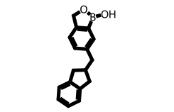 OB1OCc2ccc(CC3Cc4ccccc4C3)cc21